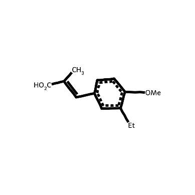 CCc1cc(/C=C(\C)C(=O)O)ccc1OC